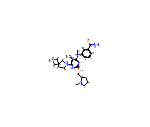 CN1CCCC1COc1nc(Nc2cccc(C(N)=O)c2)c(C#N)c(N2CCC3(CNC3)C2)n1